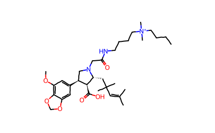 CCCC[N+](C)(C)CCCCNC(=O)CN1C[C@H](c2cc(OC)c3c(c2)OCO3)[C@H](C(=O)O)[C@H]1CC(C)(C)C=C(C)C